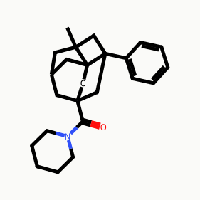 CC12CC3CC4(C(=O)N5CCCCC5)CC(c5ccccc5)(C1)C2(C3)C4